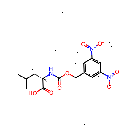 CC(C)C[C@H](NC(=O)OCc1cc([N+](=O)[O-])cc([N+](=O)[O-])c1)C(=O)O